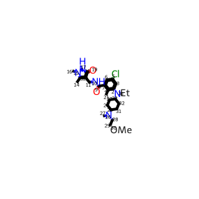 CCN(c1cc(Cl)cc(C(=O)NCc2c(C)n(C)[nH]c2=O)c1C)[C@H]1CC[C@H](N(C)CCOC)CC1